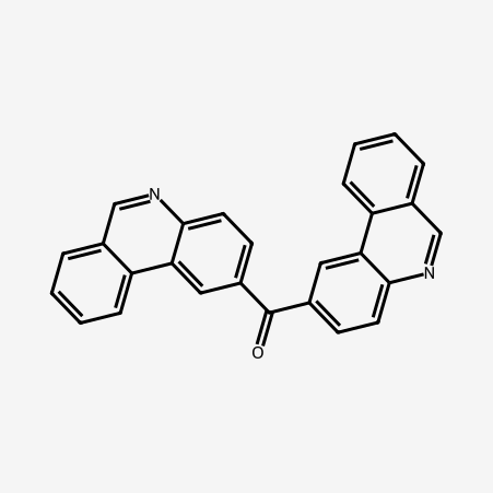 O=C(c1ccc2ncc3ccccc3c2c1)c1ccc2ncc3ccccc3c2c1